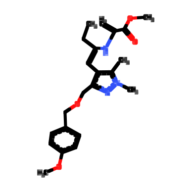 C=C(N/C(=C\c1c(COCc2ccc(OC)cc2)nn(C)c1C)CC)C(=O)OC